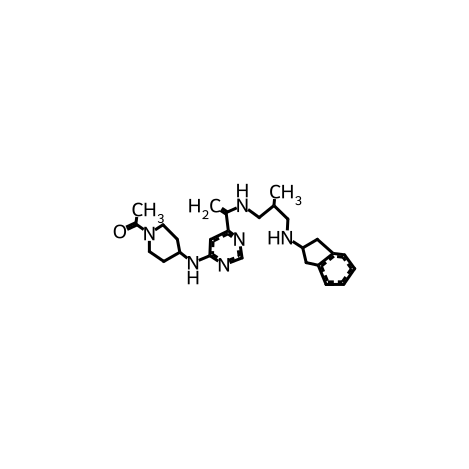 C=C(NCC(C)CNC1Cc2ccccc2C1)c1cc(NC2CCN(C(C)=O)CC2)ncn1